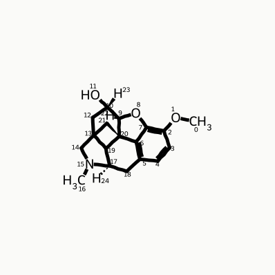 COc1ccc2c3c1O[C@H]1[C@@H](O)CC45CN(C)[C@H](C2)C4[C@@]31C5